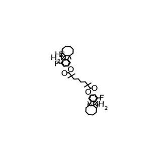 CC(C)(CCCCC(C)(C)C(=O)Oc1cc(F)c2c(c1)[C@@]1(C)CCCCCC(C2)C1N)C(=O)Oc1cc(F)c2c(c1)C1(C)CCCCC[C@@H](C2)C1N